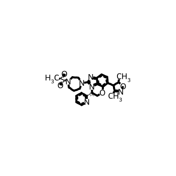 CC1=NOC(C)C1c1ccc2nc(N3CCCN(S(C)(=O)=O)CC3)n3c2c1OC[C@@H]3c1ccccn1